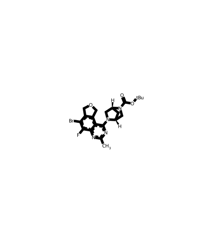 Cc1nc(N2C[C@H]3C[C@@H]2CN3C(=O)OC(C)(C)C)c2c3c(c(Br)c(F)c2n1)COC3